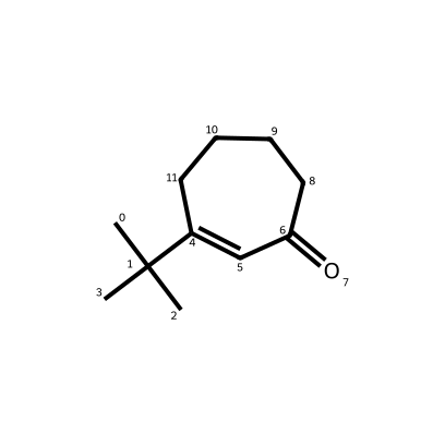 CC(C)(C)C1=CC(=O)CCCC1